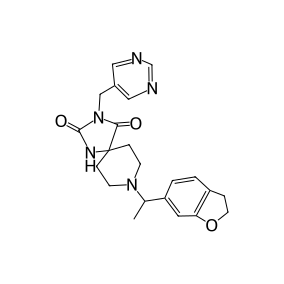 CC(c1ccc2c(c1)OCC2)N1CCC2(CC1)NC(=O)N(Cc1cncnc1)C2=O